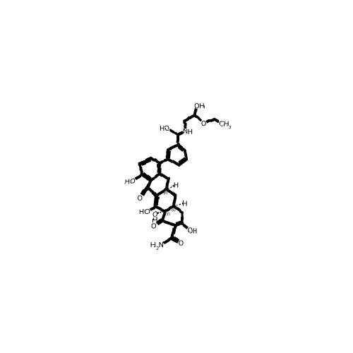 CCOC(O)CNC(O)c1cccc(-c2ccc(O)c3c2C[C@H]2C[C@H]4CC(O)=C(C(N)=O)C(=O)[C@@]4(O)C(O)=C2C3=O)c1